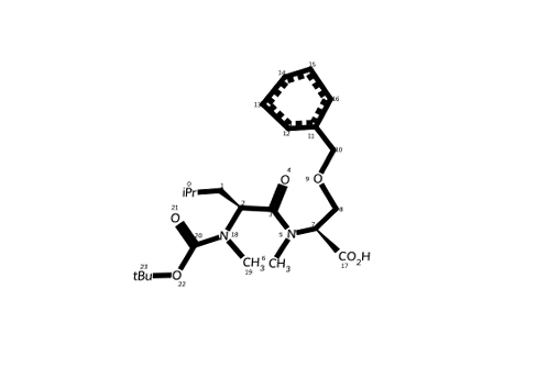 CC(C)C[C@@H](C(=O)N(C)[C@@H](COCc1ccccc1)C(=O)O)N(C)C(=O)OC(C)(C)C